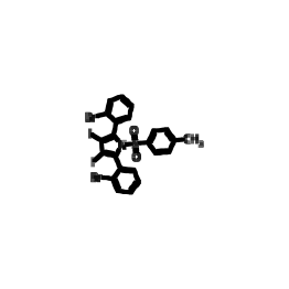 Cc1ccc(S(=O)(=O)n2c(-c3ccccc3Br)c(I)c(I)c2-c2ccccc2Br)cc1